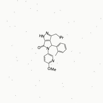 COc1ccc(N2C(=O)c3[nH]nc(CC(C)C)c3C2c2ccccc2C)cn1